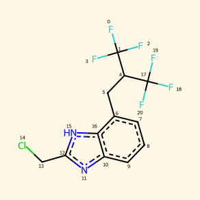 FC(F)(F)C(Cc1cccc2nc(CCl)[nH]c12)C(F)(F)F